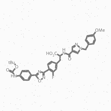 COc1ccc(Cn2cc(C(=O)NC(Cc3ccc(-c4noc(-c5ccc(NC(=O)OC(C)(C)C)cc5)n4)c(F)c3)C(=O)O)cn2)cc1